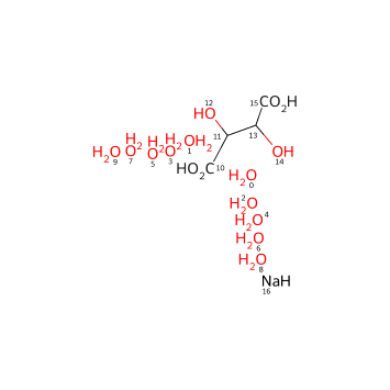 O.O.O.O.O.O.O.O.O.O.O=C(O)C(O)C(O)C(=O)O.[NaH]